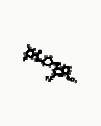 O=C(NC1CCC(Nc2cc(C(F)(F)F)nc3c(OC(F)(F)F)cccc23)CC1)c1cc(F)cc(F)c1